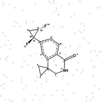 O=C1NCC2(CC2)c2cc([C@]3(F)C[C@@H]3F)ccc21